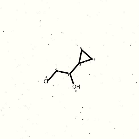 OC(CCl)C1CC1